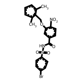 Cc1cccc(C)c1COc1cc(C(=O)NS(=O)(=O)c2ccc(Br)cc2)ccc1[N+](=O)[O-]